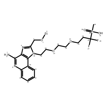 CCOCc1nc2c(N)nc3ccccc3c2n1CCOCCOCCC(F)(F)P(C)(=O)O